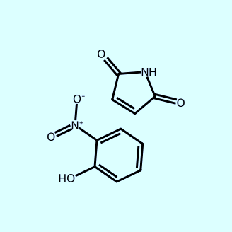 O=C1C=CC(=O)N1.O=[N+]([O-])c1ccccc1O